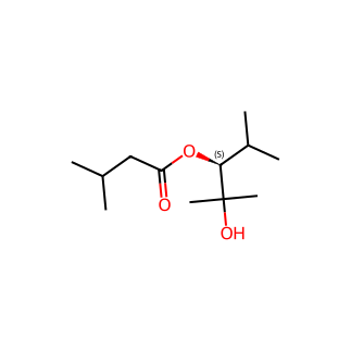 CC(C)CC(=O)O[C@@H](C(C)C)C(C)(C)O